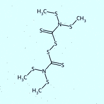 CSN(SC)C(=S)SSC(=S)N(SC)SC